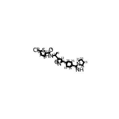 CC(NC(=O)c1ccc(Cl)s1)c1cc(-c2ccc(C(=N)N3CCCC3)cc2)no1